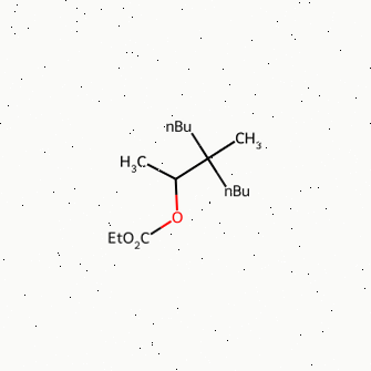 CCCCC(C)(CCCC)C(C)OC(=O)OCC